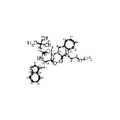 COCCNC(=O)C(Cc1ccccc1)NC(=O)[C@H](Cc1csc2ccccc12)NC(=O)OC(C)(C)C